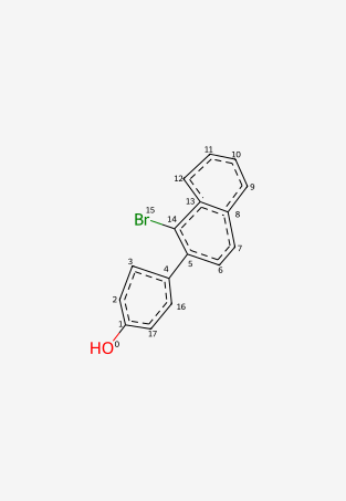 Oc1ccc(-c2ccc3ccccc3c2Br)cc1